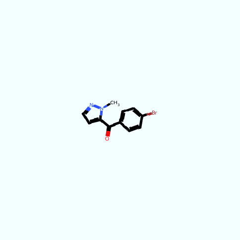 Cn1nccc1C(=O)c1ccc(Br)cc1